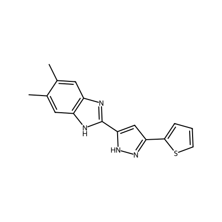 Cc1cc2nc(-c3cc(-c4cccs4)n[nH]3)[nH]c2cc1C